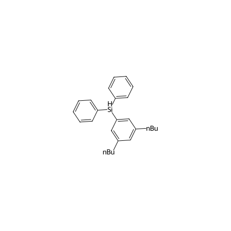 CCCCc1cc(CCCC)cc([SiH](c2ccccc2)c2ccccc2)c1